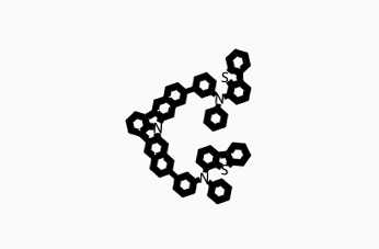 c1ccc(N(c2cccc(-c3ccc4cc5c6cccc7c8cc9ccc(-c%10cccc(N(c%11ccccc%11)c%11cccc%12c%11sc%11ccccc%11%12)c%10)cc9cc8n(c5cc4c3)c67)c2)c2cccc3c2sc2ccccc23)cc1